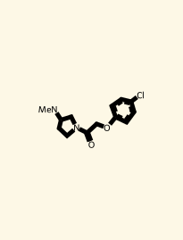 CNC1CCN(C(=O)COc2ccc(Cl)cc2)C1